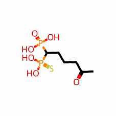 CC(=O)CCCC(P(=O)(O)O)P(O)(O)=S